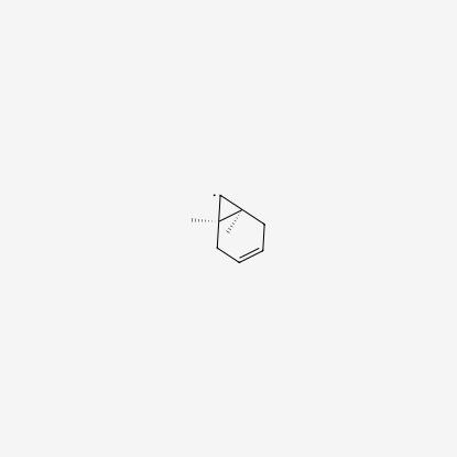 C[C@@]12[CH][C@]1(C)CC=CC2